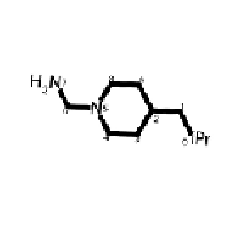 CC(C)CC1CCN(CN)CC1